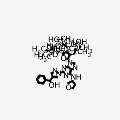 CC(C)(C[C@@H]1[C@H](CC(C)(C)[Si](C)(C)O)[C@@H](CO[Si](C)(C)C(C)(C)C)O[C@H]1n1cnc2c(NC3CCOC3)nc(-n3cc(C(O)c4ccccc4)cn3)nc21)[Si](C)(C)O